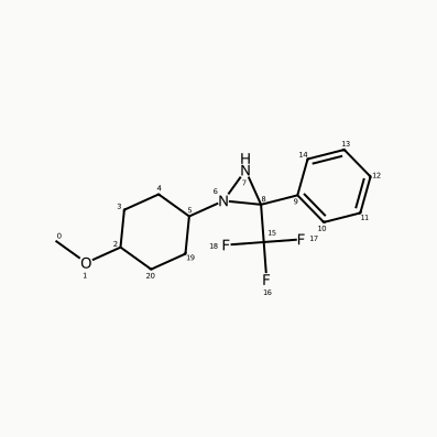 COC1CCC(N2NC2(c2ccccc2)C(F)(F)F)CC1